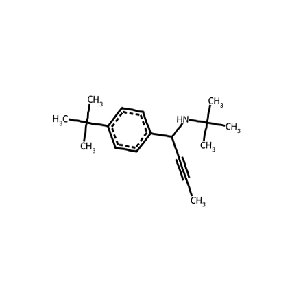 CC#CC(NC(C)(C)C)c1ccc(C(C)(C)C)cc1